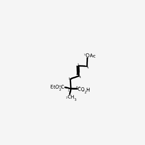 CCOC(=O)C(C)(CC=CCOC(C)=O)C(=O)O